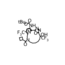 CC(C)(C)OC(=O)Nc1cc(C(F)(F)F)c2nc1-c1nnc(o1)C(O)(C(F)(F)F)CCCCCN(C(=O)C1CCC1)C2